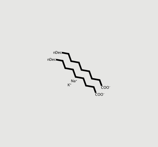 CCCCCCCCCCCCCCCCCC(=O)[O-].CCCCCCCCCCCCCCCCCC(=O)[O-].[K+].[Na+]